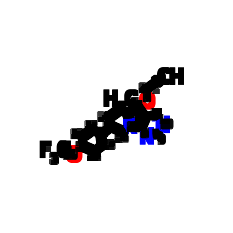 C#CCOC(C)(c1cncnc1)c1ccc(-c2ccc(OC(F)(F)F)cc2)cn1